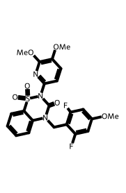 COc1cc(F)c(CN2C(=O)N(c3ccc(OC)c(OC)n3)S(=O)(=O)c3ccccc32)c(F)c1